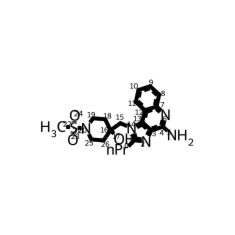 CCCc1nc2c(N)nc3ccccc3c2n1CC1(O)CCN(S(C)(=O)=O)CC1